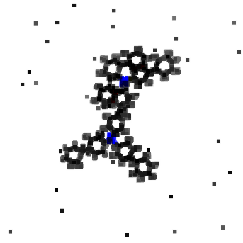 c1ccc(-c2ccc(N(c3ccc(-c4ccccc4)cc3)c3ccc(-c4ccc(N(c5ccc(-c6ccccc6)cc5)c5c(-c6ccccc6)cccc5-c5ccccc5)cc4)cc3)cc2)cc1